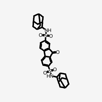 O=C1c2cc(S(=O)(=O)NC3C4CC5CC(C4)CC3C5)ccc2-c2ccc(S(=O)(=O)NC3C4CC5CC(C4)CC3C5)cc21